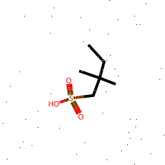 CCC(C)(C)CS(=O)(=O)O